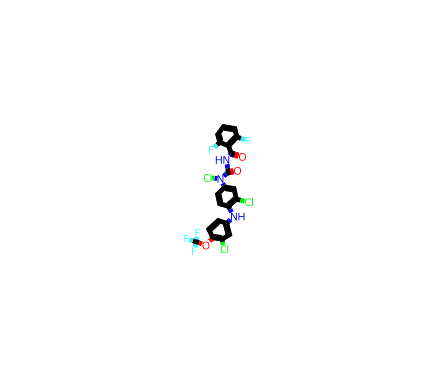 O=C(NC(=O)N(Cl)c1ccc(Nc2ccc(OC(F)(F)F)c(Cl)c2)c(Cl)c1)c1c(F)cccc1F